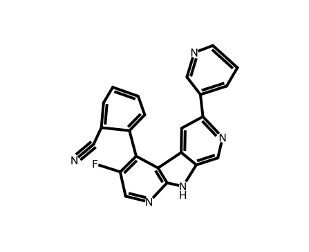 N#Cc1ccccc1-c1c(F)cnc2[nH]c3cnc(-c4cccnc4)cc3c12